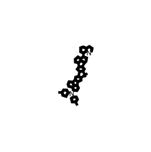 Cc1ccc(N(c2ccc(C)cc2)c2ccc3c4c(cccc24)-c2cc4c(cc2-3)C(C)(C)c2cc3c(cc2-4)-c2cccc4c(-c5cccc6cccnc56)ccc-3c24)cc1